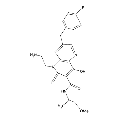 COCC(C)NC(=O)c1c(O)c2ncc(Cc3ccc(F)cc3)cc2n(CCN)c1=O